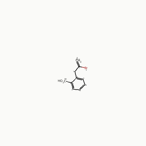 C=C(Br)Cc1ccccc1C(=O)O